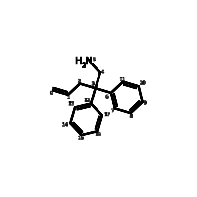 C=CCC(CN)(c1ccccc1)c1ccccc1